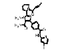 CC#CC(=O)N1CCCCC1c1nc(-c2ccc(C(=O)Nc3cc(I)ccn3)cc2)c(C(N)=O)n1N